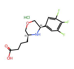 Cl.O=C(O)CCC[C@H]1COC[C@@H](c2cc(F)c(F)c(F)c2)N1